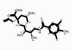 C=CC[C@]1(C(=O)OC)C[C@H](OC(C)=O)C[C@H]([C@H](OC(C)=O)[C@@H](CNC(=O)c2cc(C)c(OC(C)=O)c(C)c2)OC(C)=O)O1